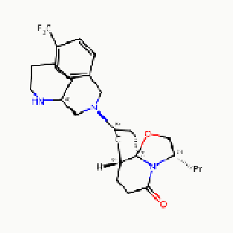 CC(C)[C@H]1CO[C@]23CC[C@H](N(Cc4ccc(C(F)(F)F)cc4)C[C@@H]4CCCCN4)C[C@H]2CCC(=O)N13